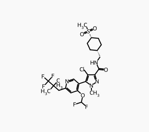 Cn1nc(C(=O)NC[C@H]2CC[C@@H](S(C)(=O)=O)CC2)c(Cl)c1-c1cnc(CC(C)(C)C(F)(F)F)cc1OC(F)F